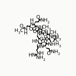 CC(=O)NCC(=O)N[C@@H](CCC(N)=O)C(=O)N[C@H](C(=O)NCC(=O)N[C@@H](CCCNC(=N)N)C(=O)N[C@@H](CCC(N)=O)C(=O)N[C@@H](CC(C)C)C(=O)N[C@@H](C)C(C)=O)C(C)C